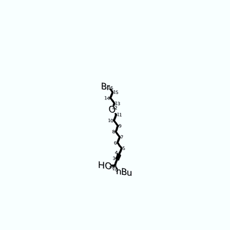 CCCC[C@@H](O)C#CCCCCCCCOCCCBr